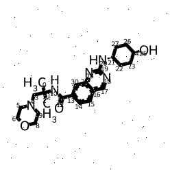 CC(C)(CN1CCOCC1)NC(=O)c1ccc2cnc(N[C@H]3CC[C@H](O)CC3)nc2c1